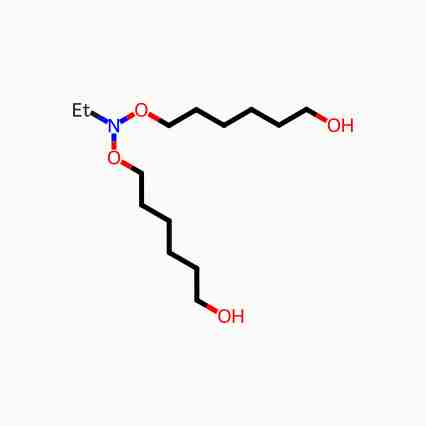 CCN(OCCCCCCO)OCCCCCCO